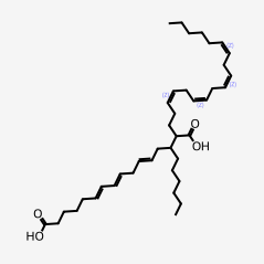 CCCCC/C=C\C/C=C\C/C=C\C/C=C\CCC(C(=O)O)C(CC=CCC=CC=CCCCCC(=O)O)CCCCCC